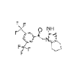 N=c1sc2c(n1CC(=O)c1cc(C(F)(F)F)cc(C(F)(F)F)c1)CCCC2